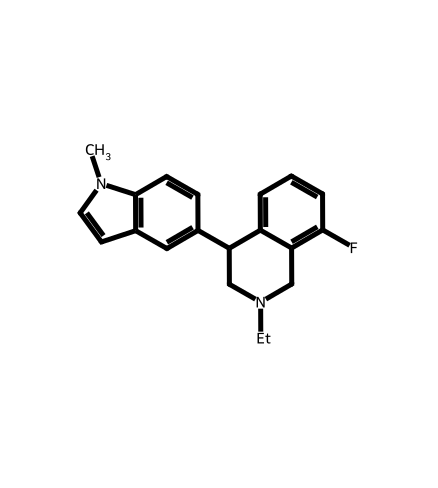 CCN1Cc2c(F)cccc2C(c2ccc3c(ccn3C)c2)C1